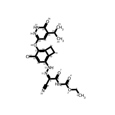 CCOC(=O)NC(=O)C(C#N)=NNc1cc(Cl)c(Oc2cc(C(C)C)c(=O)[nH]n2)c2c1CC2